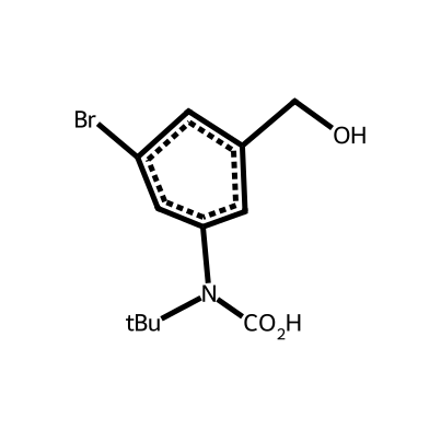 CC(C)(C)N(C(=O)O)c1cc(Br)cc(CO)c1